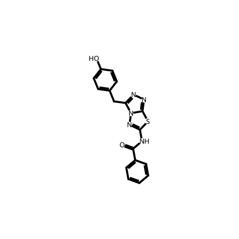 O=C(Nc1nn2c(Cc3ccc(O)cc3)nnc2s1)c1ccccc1